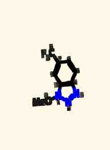 COn1nnc2ccc(C(F)(F)F)cc21